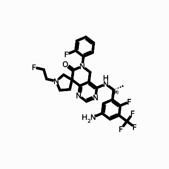 C[C@@H](Nc1ncnc2c1CN(c1ccccc1F)C(=O)C21CCN(CCF)C1)c1cc(N)cc(C(F)(F)F)c1F